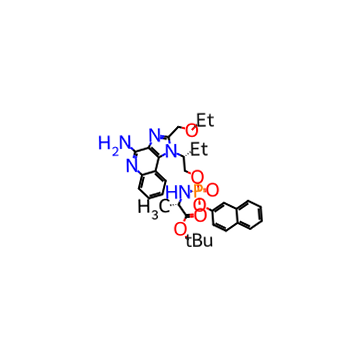 CCOCc1nc2c(N)nc3ccccc3c2n1[C@H](CC)CO[P@@](=O)(N[C@@H](C)C(=O)OC(C)(C)C)Oc1ccc2ccccc2c1